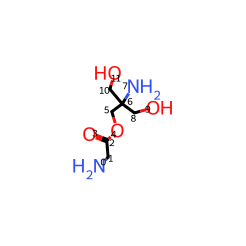 NCC(=O)OCC(N)(CO)CO